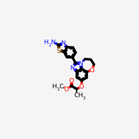 COC(=O)[C@H](C)Oc1cc2c3c(c1)nc(-c1ccc4nc(N)sc4c1)n3CCCO2